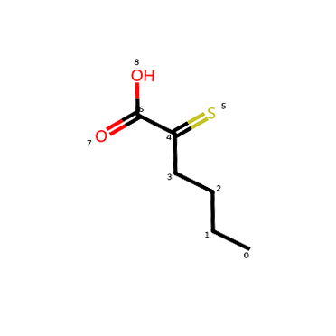 CCCCC(=S)C(=O)O